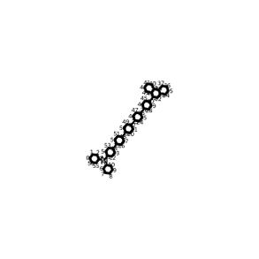 c1ccc(N(c2ccccc2)c2ccc(-c3ccc(-c4ccc(-c5ccc(-c6ccc(-c7cc8ccccc8c8ccccc78)cc6)cc5)cc4)cc3)cc2)cc1